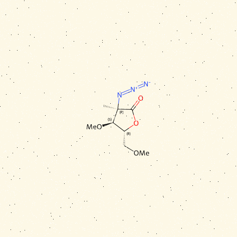 COC[C@H]1OC(=O)[C@](C)(N=[N+]=[N-])[C@@H]1OC